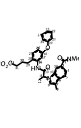 CNC(=O)c1ccc2c(C)cn(C(C)C(=O)Nc3cc(Oc4ccccc4)ccc3CCCC(=O)O)c2c1